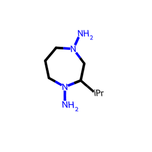 CC(C)C1CN(N)CCCN1N